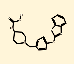 CC(C)OC(=O)NC1CCN(Cc2ccc(Oc3nc4ccccc4s3)cc2)CC1